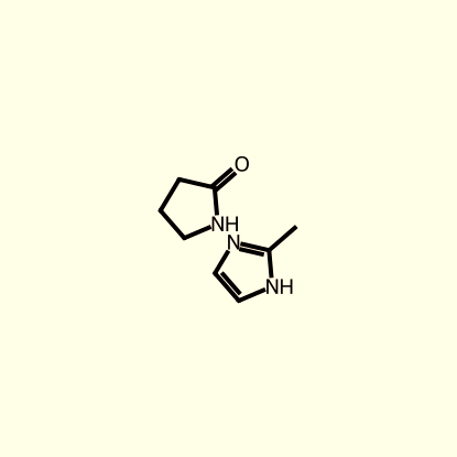 Cc1ncc[nH]1.O=C1CCCN1